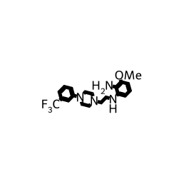 COc1cccc(NCCN2CCN(c3cccc(C(F)(F)F)c3)CC2)c1N